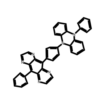 c1ccc(-c2c3nccnc3c(-c3ccc(N4c5ccccc5N(c5ccccc5)c5ccccc54)cc3)c3nccnc23)cc1